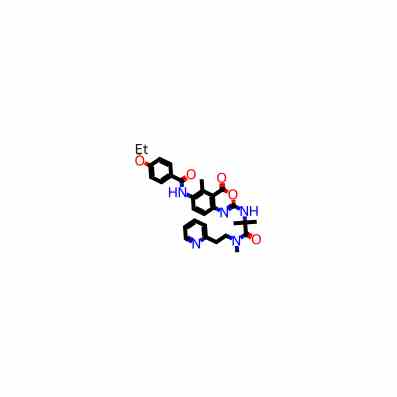 CCOc1ccc(C(=O)Nc2ccc3nc(NC(C)(C)C(=O)N(C)CCc4ccccn4)oc(=O)c3c2C)cc1